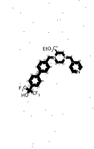 CCOC(=O)[C@H]1CN(Cc2ccncc2)CCN1Cc1ccc(-c2ccc(C(O)(C(F)(F)F)C(F)(F)F)cc2)cc1